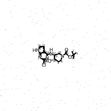 CC(C)(C)OC(=O)N1CC[C@H](O)[C@@H](Nc2nc(Cl)nc3[nH]ccc23)C1